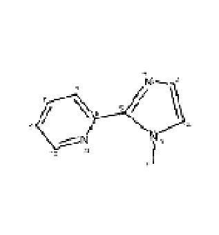 Cn1[c]cnc1-c1ccccn1